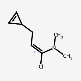 CN(C)/C(Cl)=C\CC1C=C1